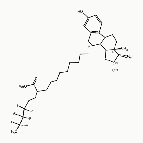 C=C1[C@H](O)CC2C3C(CC[C@]12C)c1ccc(O)cc1C[C@H]3CCCCCCCCCC(CCC(F)(F)C(F)(F)C(F)(F)C(F)(F)F)C(=O)OC